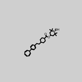 CC1(C)CC(OC(=O)C2CCC(CCc3ccc(C4C=CC=CC=C4)cc3)CC2)CC(C)(C)N1O